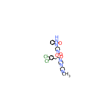 CN1CCC(N2CCN(C(=O)[C@@H](Cc3ccc(Cl)c(Cl)c3)OC(=O)N3CCC(n4c(=O)[nH]c5ccccc54)CC3)CC2)CC1